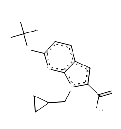 [2H]C([2H])([2H])Oc1ccc2cc(C(=O)OC)n(CC3CC3)c2n1